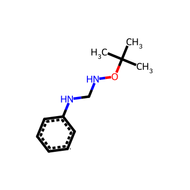 CC(C)(C)ONCNc1c[c]ccc1